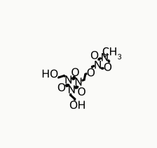 CN1COCN(COCCn2c(=O)n(CCO)c(=O)n(CCO)c2=O)C1=O